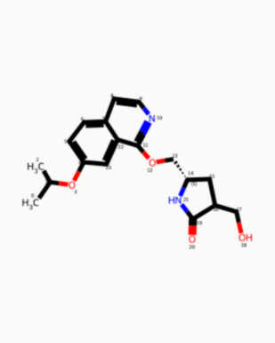 CC(C)Oc1ccc2ccnc(OC[C@@H]3CC(CO)C(=O)N3)c2c1